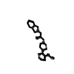 CC(C)Oc1ccccc1N1CCN(CC(=O)CN2CC3C=CCCC3C2)CC1